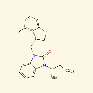 CCCCC(CC(=O)O)n1c(=O)n(CC2CSc3cccc(C)c32)c2ccccc21